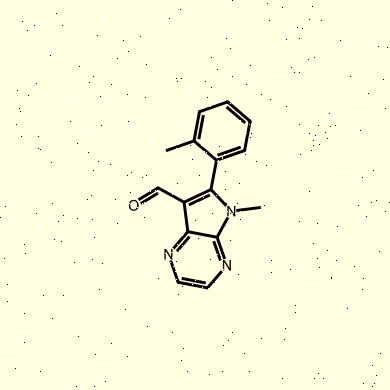 Cc1ccccc1-c1c(C=O)c2nccnc2n1C